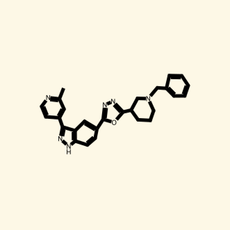 Cc1cc(-c2n[nH]c3ccc(-c4nnc(C5CCCN(Cc6ccccc6)C5)o4)cc23)ccn1